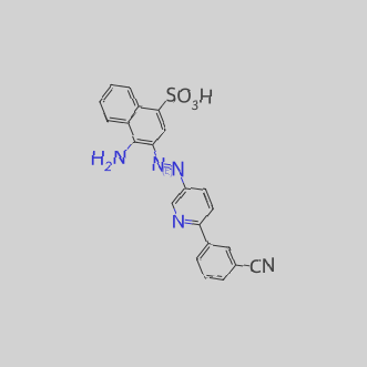 N#Cc1cccc(-c2ccc(/N=N/c3cc(S(=O)(=O)O)c4ccccc4c3N)cn2)c1